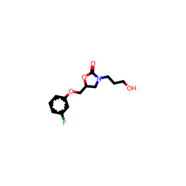 O=C1OC(COc2cccc(F)c2)CN1CCCO